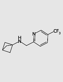 FC(F)(F)c1ccc(CNC23CC(C2)C3)nc1